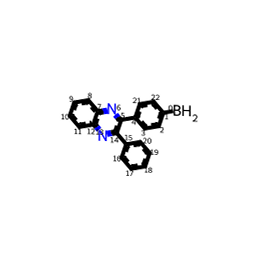 Bc1ccc(-c2nc3ccccc3nc2-c2ccccc2)cc1